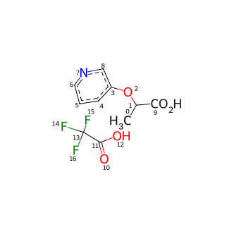 CC(Oc1cccnc1)C(=O)O.O=C(O)C(F)(F)F